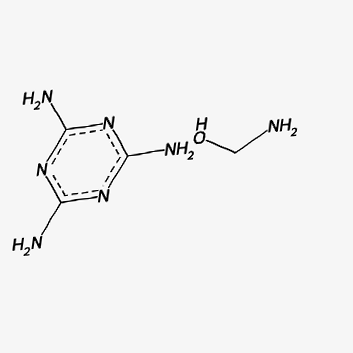 NCO.Nc1nc(N)nc(N)n1